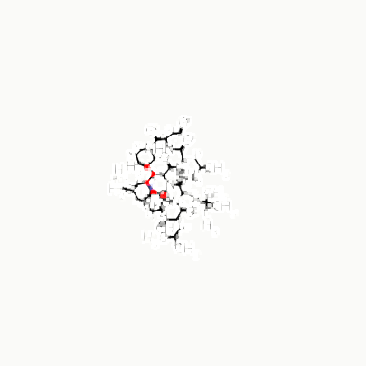 C=C/C=C(\C=C)C[C@@H](C(=O)N(C)[C@@H](CC(C)C)C(=O)NC(CC=O)C(=O)N1CCCCC1)N(C)C(=O)[C@H](COC(C)(C)C)NC(=O)[C@H](CC(C)C)N(C)C(=O)CN(CCCC)C(=O)CCC